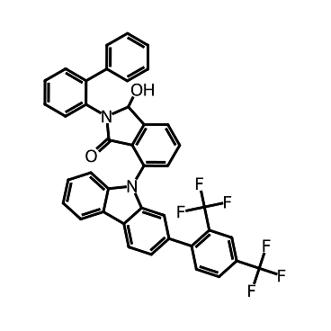 O=C1c2c(cccc2-n2c3ccccc3c3ccc(-c4ccc(C(F)(F)F)cc4C(F)(F)F)cc32)C(O)N1c1ccccc1-c1ccccc1